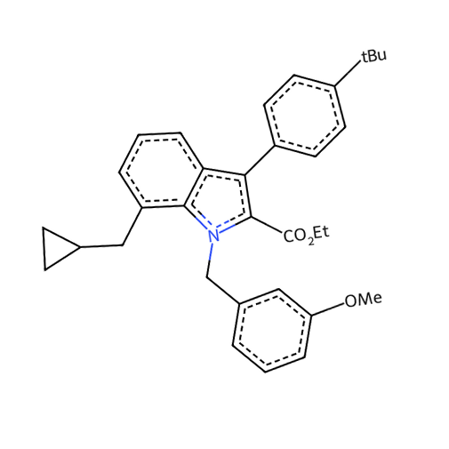 CCOC(=O)c1c(-c2ccc(C(C)(C)C)cc2)c2cccc(CC3CC3)c2n1Cc1cccc(OC)c1